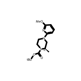 COc1cccc(N2CCN(C(=O)OC(C)(C)C)[C@H](C)C2)n1